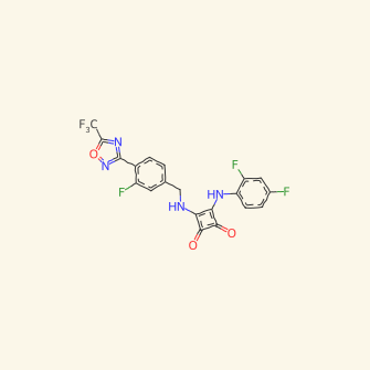 O=c1c(NCc2ccc(-c3noc(C(F)(F)F)n3)c(F)c2)c(Nc2ccc(F)cc2F)c1=O